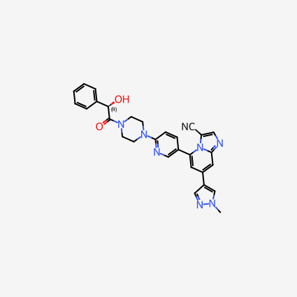 Cn1cc(-c2cc(-c3ccc(N4CCN(C(=O)[C@H](O)c5ccccc5)CC4)nc3)n3c(C#N)cnc3c2)cn1